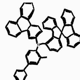 Cc1cc(-c2ccccc2)ccc1N(c1ccc2c3ccccc3c3ccccc3c2c1)c1cccc2c1-c1ccccc1C21c2ccccc2-c2ccccc21